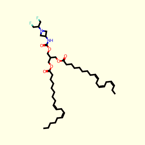 CC/C=C\C/C=C\C/C=C\CCCCCCCC(=O)OCC(COC(=O)CCCCCCC/C=C\C/C=C\CCCCC)COC(=O)NC1CN(C(CF)CF)C1